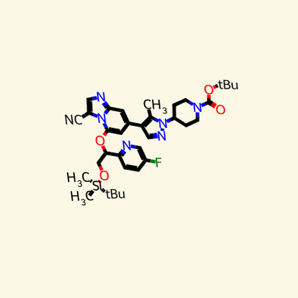 Cc1c(-c2cc(OC(CO[Si](C)(C)C(C)(C)C)c3ccc(F)cn3)n3c(C#N)cnc3c2)cnn1C1CCN(C(=O)OC(C)(C)C)CC1